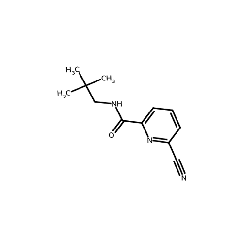 CC(C)(C)CNC(=O)c1cccc(C#N)n1